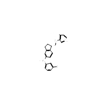 CN(c1cccc(I)c1)c1ccc2c(c1)CC[C@H]2CNc1cnccc1C(=O)O